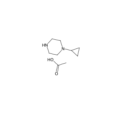 C1CN(C2CC2)CCN1.CC(=O)O